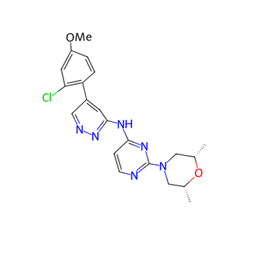 COc1ccc(-c2cnnc(Nc3ccnc(N4C[C@@H](C)O[C@@H](C)C4)n3)c2)c(Cl)c1